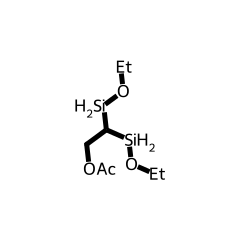 CCO[SiH2]C(COC(C)=O)[SiH2]OCC